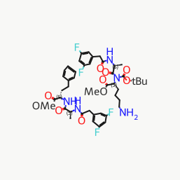 COC(=O)[C@H](CCCCN)N(C(=O)OC(C)(C)C)C(=O)[C@H](C)NC(=O)Cc1cc(F)cc(F)c1.COC(=O)[C@H](CCc1ccccc1)NC(=O)[C@H](C)NC(=O)Cc1cc(F)cc(F)c1